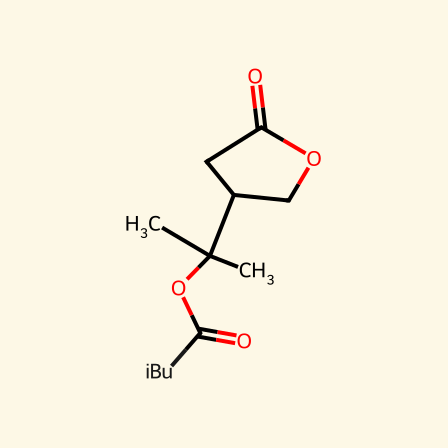 CCC(C)C(=O)OC(C)(C)C1COC(=O)C1